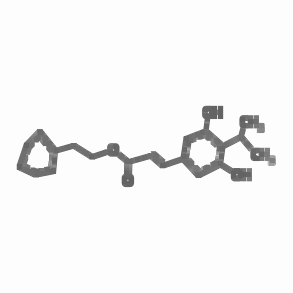 CC(C)c1c(O)cc(C=CC(=O)OCCc2ccccc2)cc1O